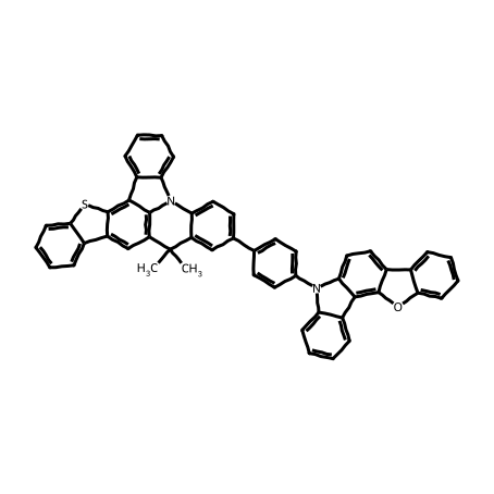 CC1(C)c2cc(-c3ccc(-n4c5ccccc5c5c6oc7ccccc7c6ccc54)cc3)ccc2-n2c3ccccc3c3c4sc5ccccc5c4cc1c32